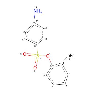 CCCc1ccccc1OS(=O)(=O)c1ccc(N)cc1